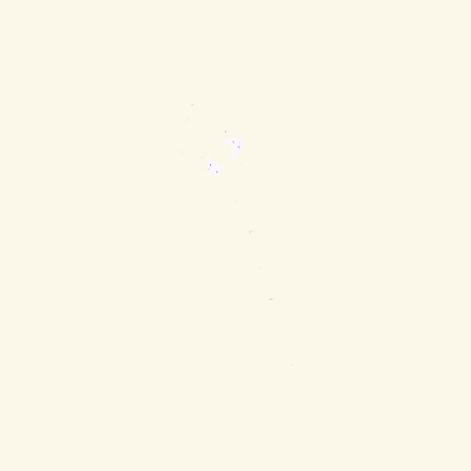 CCCCCCCCCCCCC1=Nc2ccccc2[N]1